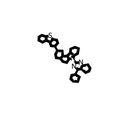 c1ccc(-c2nc(-n3c4ccccc4c4c5cc(-c6ccc7sc8ccccc8c7c6)ccc5ccc43)nc3ccccc23)cc1